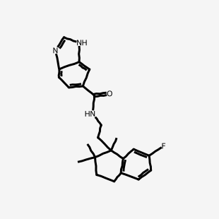 CC1(C)CCc2ccc(F)cc2C1(C)CCNC(=O)c1ccc2nc[nH]c2c1